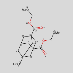 COCOC(=O)C12CC3CC(C(=O)O)(C1)CC(C(=O)OCOC)(C3)C2